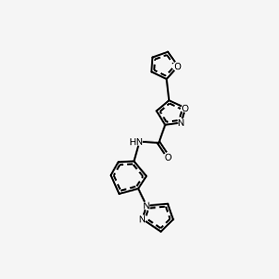 O=C(Nc1cccc(-n2cccn2)c1)c1cc(-c2ccco2)on1